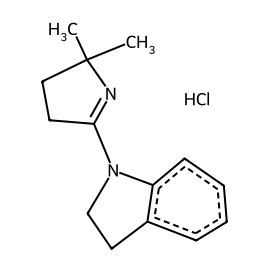 CC1(C)CCC(N2CCc3ccccc32)=N1.Cl